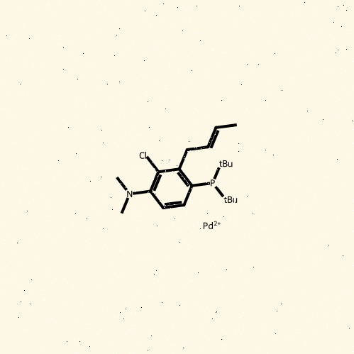 CC=CCc1c(P(C(C)(C)C)C(C)(C)C)ccc(N(C)C)c1Cl.[Pd+2]